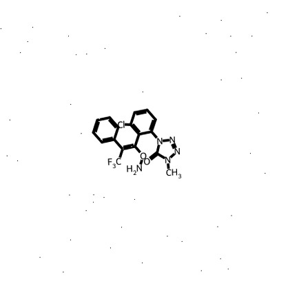 Cn1nnn(-c2cccc(Cl)c2/C(ON)=C(\c2ccccc2)C(F)(F)F)c1=O